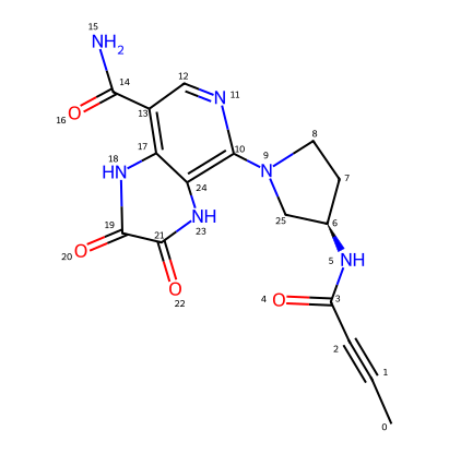 CC#CC(=O)N[C@@H]1CCN(c2ncc(C(N)=O)c3[nH]c(=O)c(=O)[nH]c23)C1